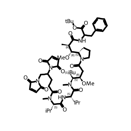 CC[C@H](C)[C@@H]([C@@H](CC(=O)N1CCC[C@H]1[C@H](OC)[C@@H](C)C(=O)NC(Cc1ccccc1)C(=O)OC(C)(C)C)OC)N(C)C(=O)[C@@H](NC(=O)[C@H](C(C)C)N(C)C(=O)CCC(CN1C(=O)C=CC1=O)N1C(=O)C=CC1=O)C(C)C